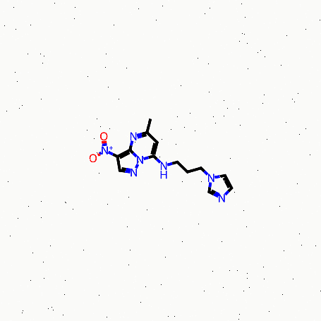 Cc1cc(NCCCn2ccnc2)n2ncc([N+](=O)[O-])c2n1